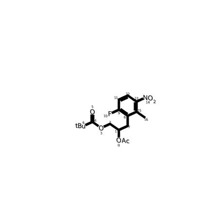 CC(=O)OC(COC(=O)C(C)(C)C)Cc1c(F)ccc([N+](=O)[O-])c1C